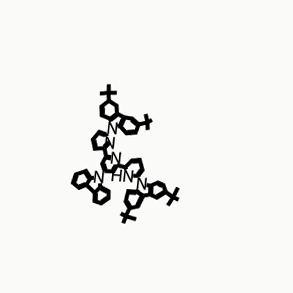 CC(C)(C)c1ccc2c(c1)c1c(n2-c2cccc(-c3cc(-n4c5ccccc5c5ccccc54)cc(C4C=CC=C(n5c6ccc(C(C)(C)C)cc6c6cc(C(C)(C)C)ccc65)N4)n3)n2)C=CC(C(C)(C)C)C1